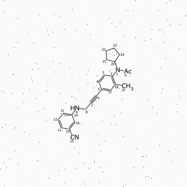 CC(=O)N(c1ccc(C#CCNc2cccc(C#N)c2)cc1C)C1CCCC1